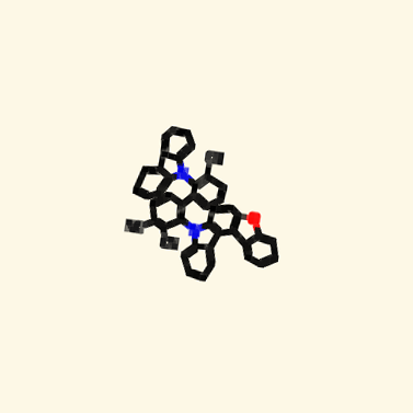 N#Cc1ccc(-c2cccc(C#N)c2-n2c3ccccc3c3ccccc32)c(-n2c3ccccc3c3c4c(ccc32)oc2ccccc24)c1C#N